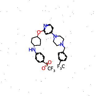 O=S(=O)(c1ccc(N[C@H]2CC[C@H](Oc3cc(N4CCN(Cc5ccc(C(F)(F)F)cc5)CC4)ccn3)CC2)cc1)C(F)(F)F